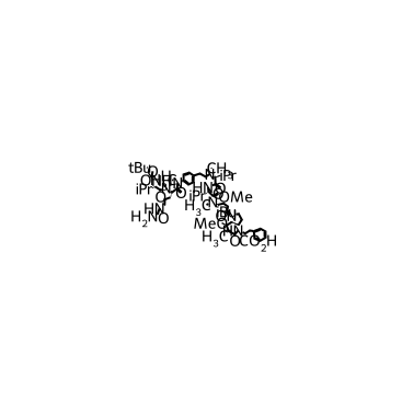 CC[C@H](C)[C@@H]([C@@H](CC(=O)N1CCC[C@H]1[C@H](OC)[C@@H](C)C(=O)N[C@@H](Cc1ccccc1)C(=O)O)OC)N(C)C(=O)[C@@H](NC(=O)[C@H](C(C)C)N(C)CCc1ccc(N(C)C(=O)[C@H](CCCNC(N)=O)NC(=O)[C@@H](NC(=O)OC(C)(C)C)C(C)C)cc1)C(C)C